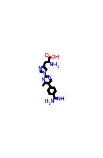 Cc1nc(-n2cnc(CC(N)C(=O)O)c2)ncc1-c1ccc(C(=N)N)cc1